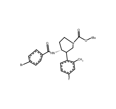 Cc1cc(F)ccc1C1CN(C(=O)OC(C)(C)C)CC[C@H]1NC(=O)c1ccc(Br)cc1